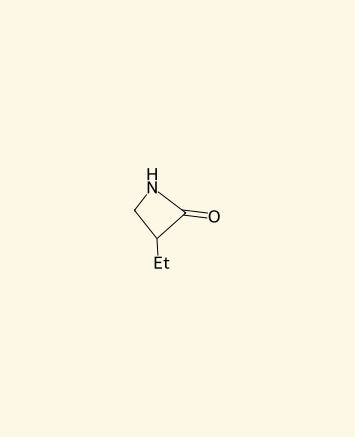 CCC1CNC1=O